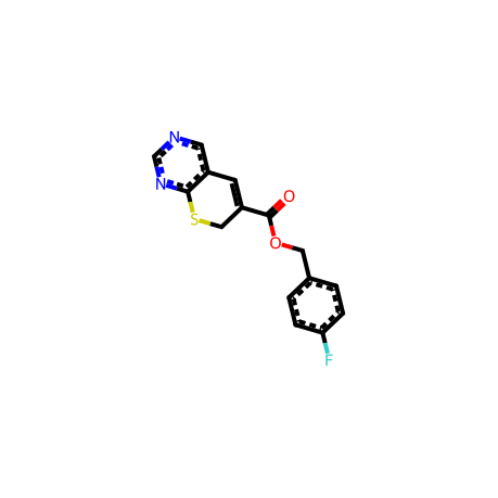 O=C(OCc1ccc(F)cc1)C1=Cc2cncnc2SC1